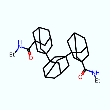 CCNC(=O)C12CC3CC(C1)CC(C14CC5CC(C1)CC(C16CC7CC(CC(C(=O)NCC)(C7)C1)C6)(C5)C4)(C3)C2